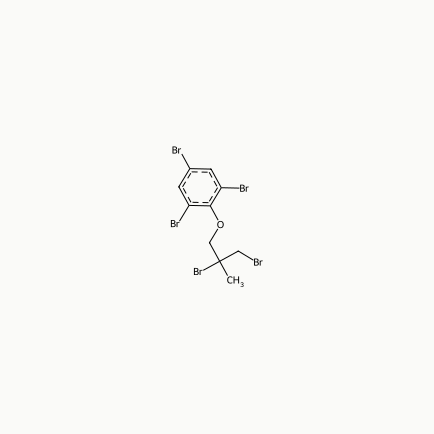 CC(Br)(CBr)COc1c(Br)cc(Br)cc1Br